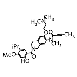 CC#CC(=O)N(C)c1cc2c(cc1OCCN(C)C)CCN(C(=O)c1cc(C(C)C)c(OC)cc1O)C2